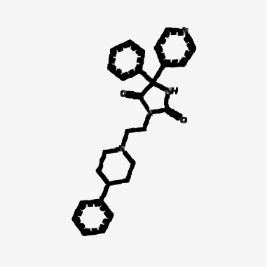 O=C1NC(c2ccccc2)(c2ccncc2)C(=O)N1CCN1CCC(c2ccccc2)CC1